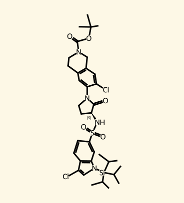 CC(C)[Si](C(C)C)(C(C)C)n1cc(Cl)c2ccc(S(=O)(=O)N[C@H]3CCN(c4cc5c(cc4Cl)CN(C(=O)OC(C)(C)C)CC5)C3=O)cc21